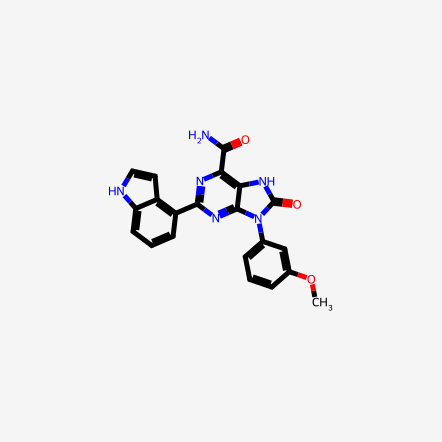 COc1cccc(-n2c(=O)[nH]c3c(C(N)=O)nc(-c4cccc5[nH]ccc45)nc32)c1